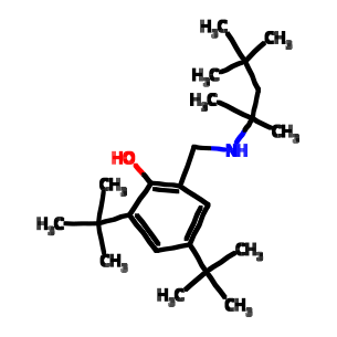 CC(C)(C)CC(C)(C)NCc1cc(C(C)(C)C)cc(C(C)(C)C)c1O